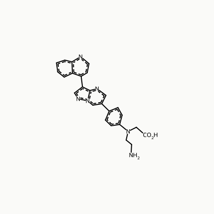 NCCN(CC(=O)O)c1ccc(-c2cnc3c(-c4ccnc5ccccc45)cnn3c2)cc1